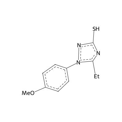 CCc1nc(S)nn1-c1ccc(OC)cc1